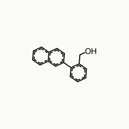 OCc1ccccc1-c1ccc2ccccc2c1